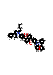 C/C=C\C=C/CN(C(=C/C)/C(=C\C)c1ccccc1)c1ccc2c(c1)Oc1ccc3c4c(ccc-2c14)Oc1cc(N(c2ccccc2)c2ccccc2-c2ccccc2)ccc1-3